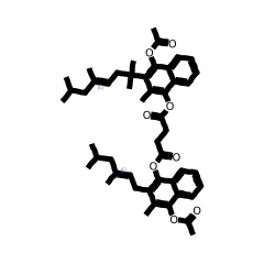 CC(=O)Oc1c(C)c(C/C=C(\C)CC(C)C)c(OC(=O)CCC(=O)Oc2c(C)c(C(C)(C)C/C=C(\C)CC(C)C)c(OC(C)=O)c3ccccc23)c2ccccc12